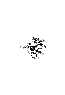 CC(C)(C)P(C[C]12[CH]3[C]4([Si](C)(C)C)[CH]5[C]1(C(P)(C1CNCCN1)C1CNCCN1)[Fe]35241678[CH]2[CH]1[CH]6[CH]7[CH]28)C(C)(C)C